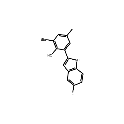 Cc1cc(-c2cc3cc(Cl)ccc3[nH]2)c(O)c(C(C)(C)C)c1